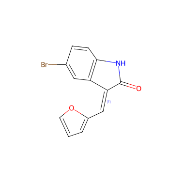 O=C1Nc2ccc(Br)cc2/C1=C\c1ccco1